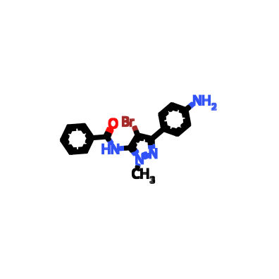 Cn1nc(-c2ccc(N)cc2)c(Br)c1NC(=O)c1ccccc1